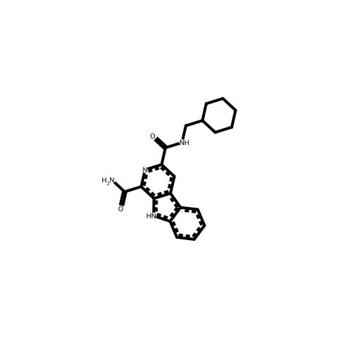 NC(=O)c1nc(C(=O)NCC2CCCCC2)cc2c1[nH]c1ccccc12